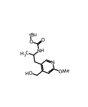 COc1cc(CO)c(CC(C)NC(=O)OC(C)(C)C)cn1